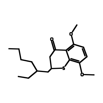 CCCCC(CC)CC1CC(=O)c2c(OC)ccc(OC)c2S1